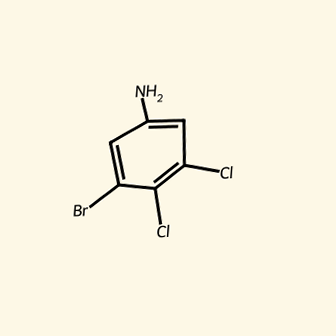 Nc1cc(Cl)c(Cl)c(Br)c1